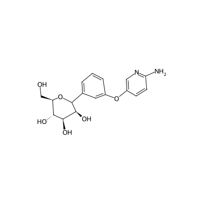 Nc1ccc(Oc2cccc(C3O[C@H](CO)[C@@H](O)[C@H](O)[C@@H]3O)c2)cn1